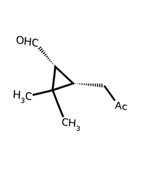 CC(=O)C[C@H]1[C@@H](C=O)C1(C)C